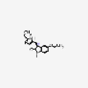 CCOc1ccc2c(c1)/C(=C/c1cnc(CC)[nH]1)C(=O)N2